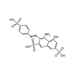 Nc1c(N=Nc2ccc(S(=O)(=O)O)cc2)c(S(=O)(=O)O)cc2cc(S(=O)(=O)O)cc(O)c12